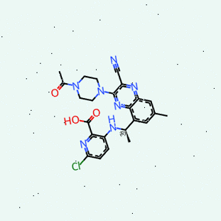 CC(=O)N1CCN(c2nc3c([C@@H](C)Nc4ccc(Cl)nc4C(=O)O)cc(C)cc3nc2C#N)CC1